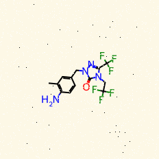 Cc1cc(Cn2nc(C(F)(F)F)n(CC(F)(F)F)c2=O)ccc1N